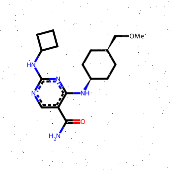 COC[C@H]1CC[C@@H](Nc2nc(NC3CCC3)ncc2C(N)=O)CC1